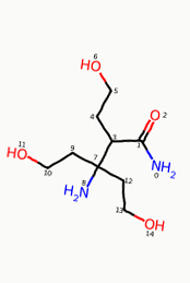 NC(=O)C(CCO)C(N)(CCO)CCO